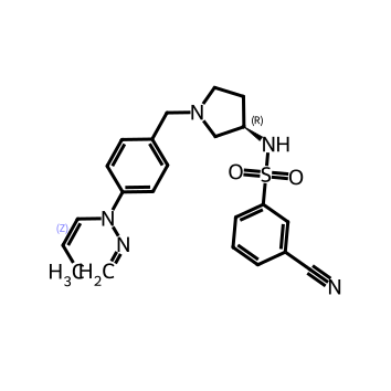 C=NN(/C=C\C)c1ccc(CN2CC[C@@H](NS(=O)(=O)c3cccc(C#N)c3)C2)cc1